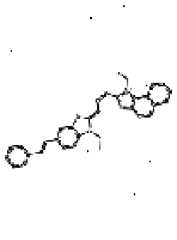 CCN1/C(=C/C=C\c2sc3ccc4ccccc4c3[n+]2CC)Sc2cc(/C=C/c3ccccc3)ccc21